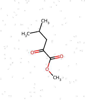 COC(=O)C(=O)CC(C)C